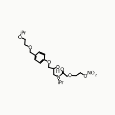 CC(C)OCCOCc1ccc(OCC(O)CN(C(=O)COCCO[N+](=O)[O-])C(C)C)cc1